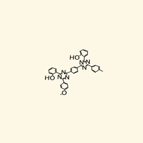 COc1ccc(-c2nc(-c3ccc(-c4nc(-c5ccc(C)cc5)nc(-c5ccccc5O)n4)cc3)nc(-c3ccccc3O)n2)cc1